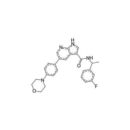 CC(NC(=O)c1c[nH]c2ncc(-c3ccc(N4CCOCC4)cc3)cc12)c1cccc(F)c1